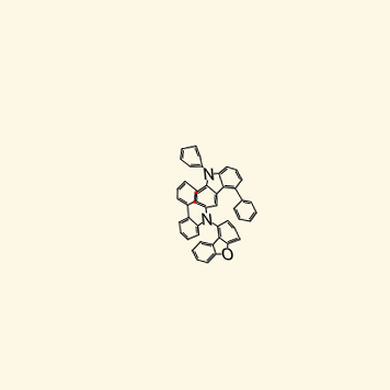 c1ccc(-c2ccccc2N(c2ccc3c(c2)c2c(-c4ccccc4)cccc2n3-c2ccccc2)c2cccc3oc4ccccc4c23)cc1